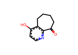 O=C1CCCCc2c(O)ccnc21